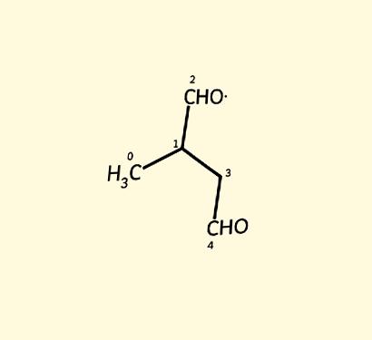 CC([C]=O)CC=O